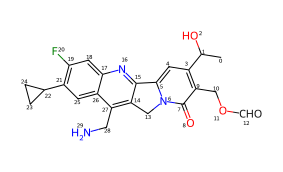 CC(O)c1cc2n(c(=O)c1COC=O)Cc1c-2nc2cc(F)c(C3CC3)cc2c1CN